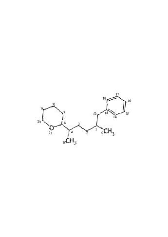 CC(CCC(C)C1CCCCO1)Cc1ccccc1